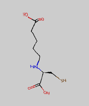 O=C(O)CCCCN[C@@H](CS)C(=O)O